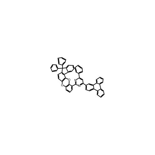 c1ccc(-c2cc(-c3ccc4c5ccccc5c5ccccc5c4c3)nc(-c3cccc4c3Oc3c(ccc5c3-c3ccccc3C5(c3ccccc3)c3ccccc3)O4)n2)cc1